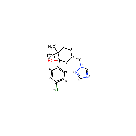 CC1(C)CC[C@H](Cn2cncn2)C[C@]1(O)c1ccc(Cl)cc1